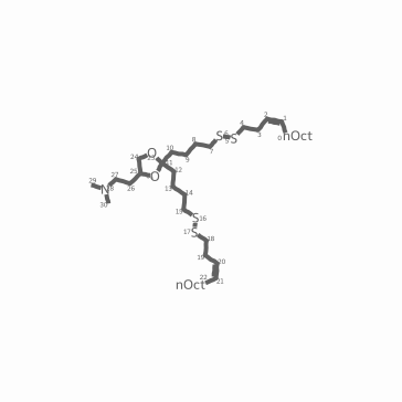 CCCCCCCC/C=C\CCSSCCCCC1(CCCCSSCC/C=C\CCCCCCCC)OCC(CCN(C)C)O1